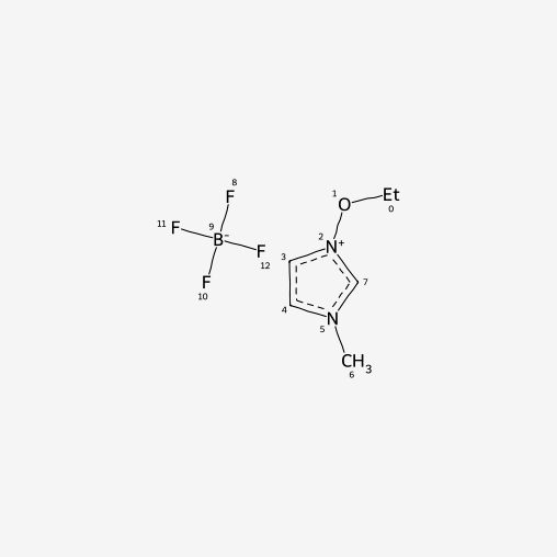 CCO[n+]1ccn(C)c1.F[B-](F)(F)F